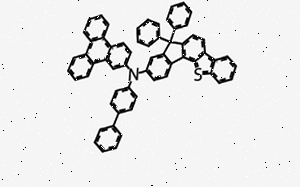 c1ccc(-c2ccc(N(c3ccc4c(c3)C(c3ccccc3)(c3ccccc3)c3ccc5c(sc6ccccc65)c3-4)c3ccc4c5ccccc5c5ccccc5c4c3)cc2)cc1